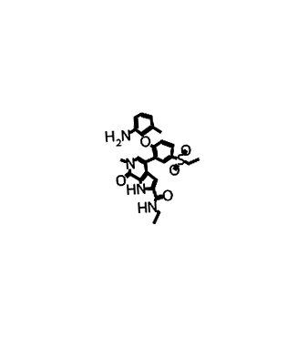 CCNC(=O)c1cc2c(-c3cc(S(=O)(=O)CC)ccc3Oc3c(C)cccc3N)cn(C)c(=O)c2[nH]1